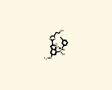 Cc1cccc(S(=O)(=O)N(S)c2cc(OC(F)(F)F)cc3cc(C4=NCC(CCO)S4)[nH]c23)c1